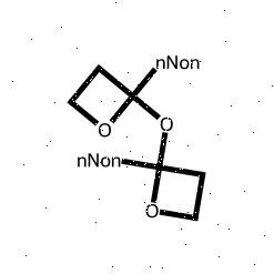 CCCCCCCCCC1(OC2(CCCCCCCCC)CCO2)CCO1